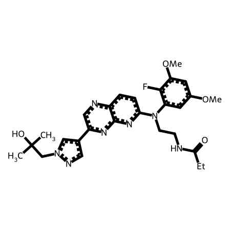 CCC(=O)NCCN(c1ccc2ncc(-c3cnn(CC(C)(C)O)c3)nc2n1)c1cc(OC)cc(OC)c1F